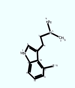 CCCN(C)CCc1c[nH]c2cccc(F)c12